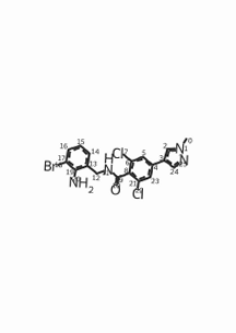 Cn1cc(-c2cc(Cl)c(C(=O)NCc3cccc(Br)c3N)c(Cl)c2)cn1